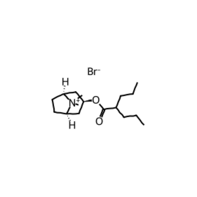 CCCC(CCC)C(=O)O[C@H]1C[C@H]2CC[C@@H](C1)[N+]2(C)C.[Br-]